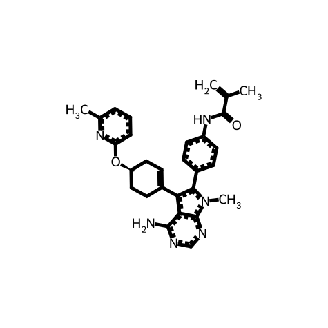 C=C(C)C(=O)Nc1ccc(-c2c(C3=CC[C@H](Oc4cccc(C)n4)CC3)c3c(N)ncnc3n2C)cc1